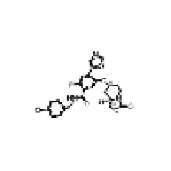 O=C(NCc1ccc(Cl)cc1)c1cc(O[C@H]2CCN3C(=O)OC[C@@H]3C2)c(-c2cnco2)cc1F